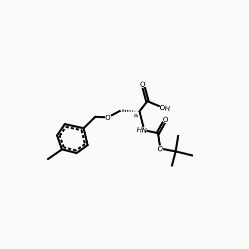 Cc1ccc(COC[C@@H](NC(=O)OC(C)(C)C)C(=O)O)cc1